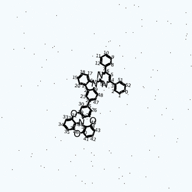 c1ccc(-c2cc(-c3ccccc3)nc(-n3c4ccccc4c4cc(-c5cc6c7c(c5)Oc5cccc8c5N7c5c(cccc5O6)O8)ccc43)n2)cc1